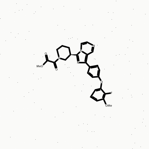 COC(=O)C(=O)N1CCC[C@@H](c2nc(-c3ccc(Oc4cccc(OC)c4F)cc3)c3cnccn23)C1